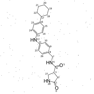 O=C1CC(C(=O)NCc2ccc(Nc3ccc(C4CCCCC4)cc3)cc2)CN1